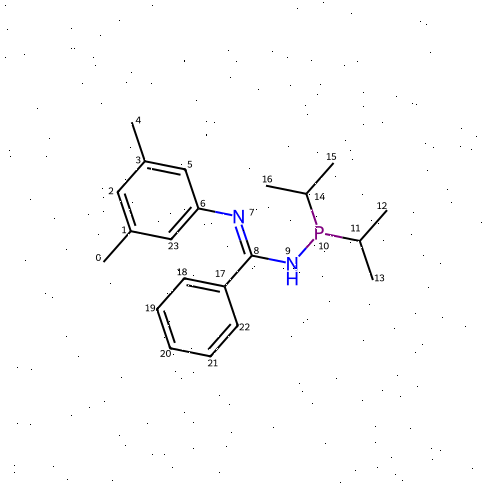 Cc1cc(C)cc(/N=C(/NP(C(C)C)C(C)C)c2ccccc2)c1